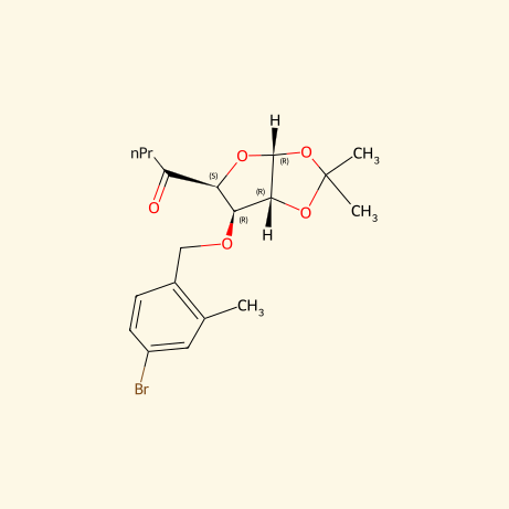 CCCC(=O)[C@H]1O[C@@H]2OC(C)(C)O[C@@H]2[C@H]1OCc1ccc(Br)cc1C